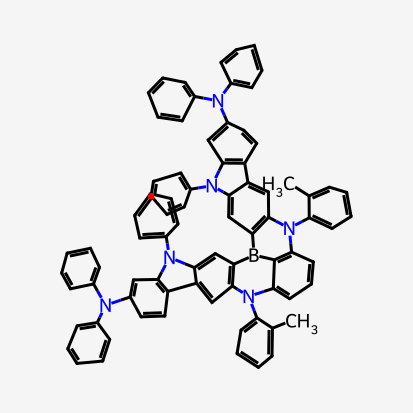 Cc1ccccc1N1c2cc3c4ccc(N(c5ccccc5)c5ccccc5)cc4n(-c4ccccc4)c3cc2B2c3cc4c(cc3N(c3ccccc3C)c3cccc1c32)c1ccc(N(c2ccccc2)c2ccccc2)cc1n4-c1ccccc1